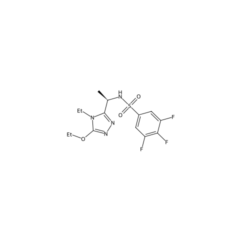 CCOc1nnc([C@@H](C)NS(=O)(=O)c2cc(F)c(F)c(F)c2)n1CC